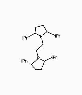 CC(C)C1CCC(C(C)C)P1CCP1C(C(C)C)CC[C@@H]1C(C)C